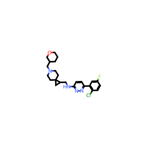 Fc1ccc(Cl)c(-c2ccc(NCC3CC34CCN(CC3CCCOC3)CC4)nn2)c1